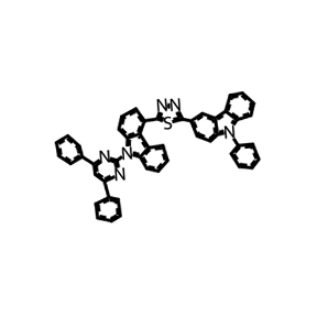 c1ccc(-c2cc(-c3ccccc3)nc(-n3c4ccccc4c4c(-c5nnc(-c6ccc7c(c6)c6ccccc6n7-c6ccccc6)s5)cccc43)n2)cc1